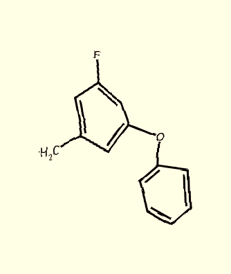 [CH2]c1cc(F)cc(Oc2ccccc2)c1